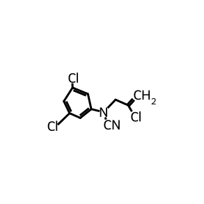 C=C(Cl)CN(C#N)c1cc(Cl)cc(Cl)c1